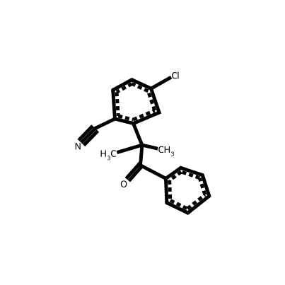 CC(C)(C(=O)c1ccccc1)c1cc(Cl)ccc1C#N